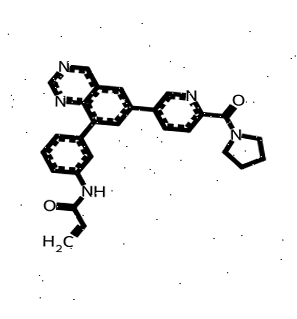 C=CC(=O)Nc1cccc(-c2cc(-c3ccc(C(=O)N4CCCC4)nc3)cc3cncnc23)c1